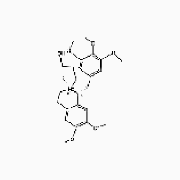 COc1cc2c(cc1OC)[C@@H](Cc1cc(OC)c(OC)c(OC)c1)[N@+](C)(CCCO)CC2